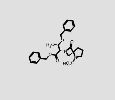 C[C@@H](OCc1ccccc1)[C@@H](C(=O)OCc1ccccc1)N1C[C@]2(CCCN2C(=O)O)C1=O